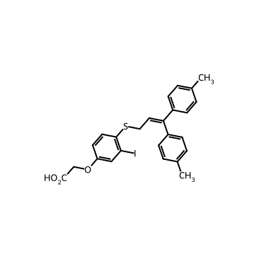 Cc1ccc(C(=CCSc2ccc(OCC(=O)O)cc2I)c2ccc(C)cc2)cc1